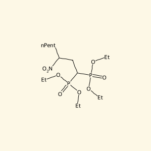 CCCCCC(CC(P(=O)(OCC)OCC)P(=O)(OCC)OCC)[N+](=O)[O-]